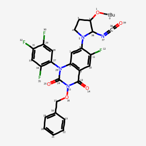 CC(C)(C)OC1CCN(c2cc3c(cc2F)c(=O)n(OCc2ccccc2)c(=O)n3-c2cc(F)c(F)cc2F)C1N=C=O